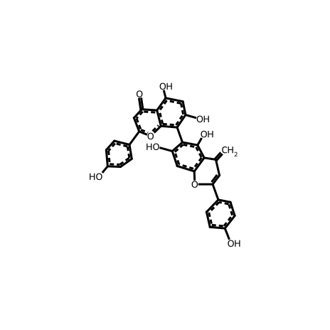 C=C1C=C(c2ccc(O)cc2)Oc2cc(O)c(-c3c(O)cc(O)c4c(=O)cc(-c5ccc(O)cc5)oc34)c(O)c21